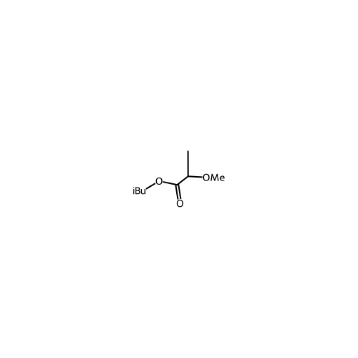 CCC(C)OC(=O)C(C)OC